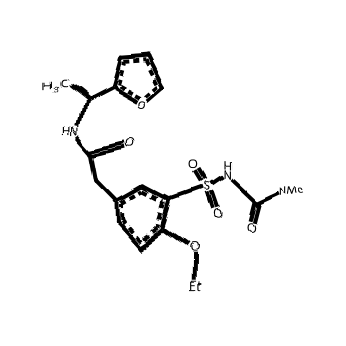 CCOc1ccc(CC(=O)NC(C)c2ccco2)cc1S(=O)(=O)NC(=O)NC